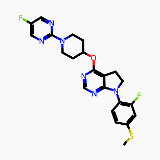 CSc1ccc(N2CCc3c(OC4CCN(c5ncc(F)cn5)CC4)ncnc32)c(F)c1